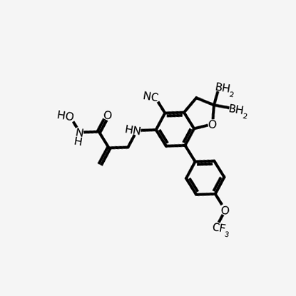 BC1(B)Cc2c(C#N)c(NCC(=C)C(=O)NO)cc(-c3ccc(OC(F)(F)F)cc3)c2O1